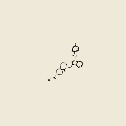 Cc1ccc(S(=O)(=O)n2cc(CN3CCCC4(CCN(C(=O)OC(C)(C)C)CC4)C3=O)c3ccccc32)cc1